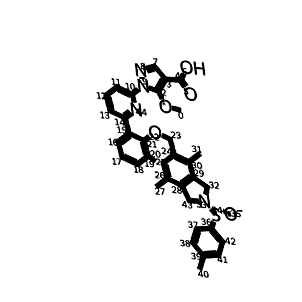 COc1c(C(=O)O)cnn1-c1cccc(-c2cccc(C)c2OCc2cc(C)c3c(c2C)CN([S+]([O-])c2ccc(C)cc2)C3)n1